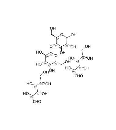 O=C[C@H](O)[C@@H](O)[C@H](O)[C@H](O)CO.O=C[C@H](O)[C@@H](O)[C@H](O)[C@H](O)CO.OC[C@H]1O[C@@H](O[C@H]2[C@H](O)[C@@H](O)C(O)O[C@@H]2CO)[C@H](O)[C@@H](O)[C@H]1O